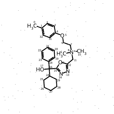 Cc1ccc(OCC[N+](C)(C)Cc2nnc(C(O)(c3ccccc3)C3CCCCC3)o2)cc1